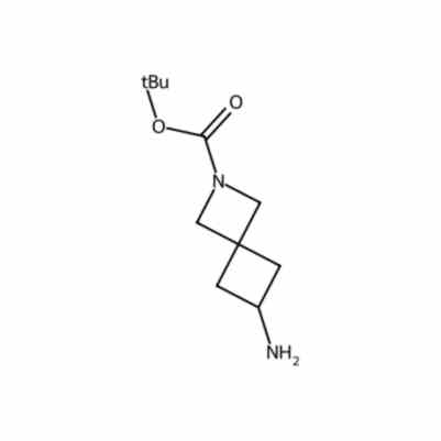 CC(C)(C)OC(=O)N1CC2(CC(N)C2)C1